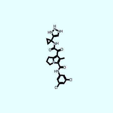 Cc1c(C(=O)C(=O)NC2(C3=CNNN3)CC2)c2n(c1C(=O)Nc1cc(Cl)cc(Cl)c1)CCC2